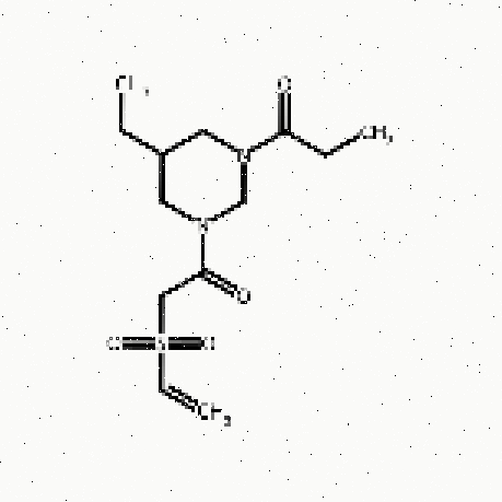 C=CS(=O)(=O)CC(=O)N1CC(CC)CN(C(=O)CC)C1